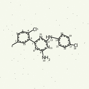 Cc1ccc(Cl)c(-c2nc(N)nc(Nc3ccc(Cl)cc3)n2)c1